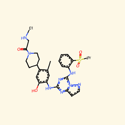 CCNCC(=O)N1CCC(c2cc(O)c(Nc3nc(Nc4ccccc4S(=O)(=O)C(C)C)n4nccc4n3)cc2C)CC1